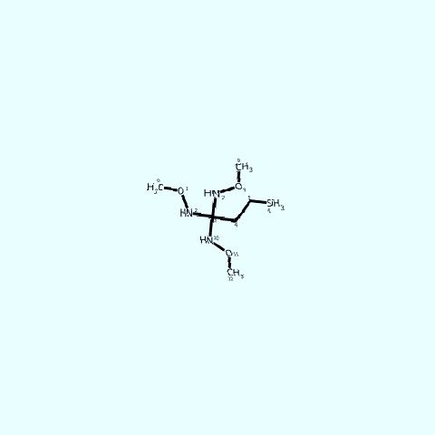 CONC(CC[SiH3])(NOC)NOC